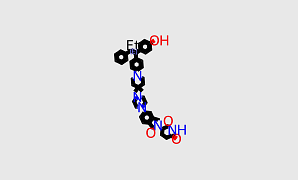 CC/C(=C(\c1ccc(O)cc1)c1ccc(N2CCC(C)(CN3CCN(c4ccc5c(c4)CN(C4CCC(=O)NC4=O)C5=O)CC3)CC2)cc1)c1ccccc1